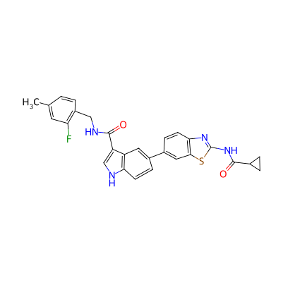 Cc1ccc(CNC(=O)c2c[nH]c3ccc(-c4ccc5nc(NC(=O)C6CC6)sc5c4)cc23)c(F)c1